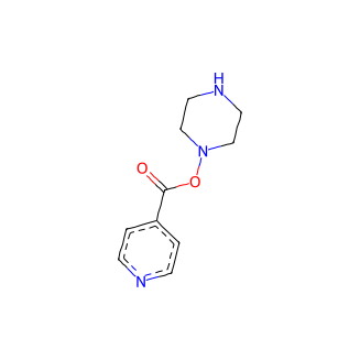 O=C(ON1CCNCC1)c1ccncc1